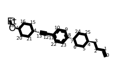 C=CCC[C@H]1CC[C@H](c2ccc(C#C[C@H]3CC[C@H](OCC)CC3)cc2)CC1